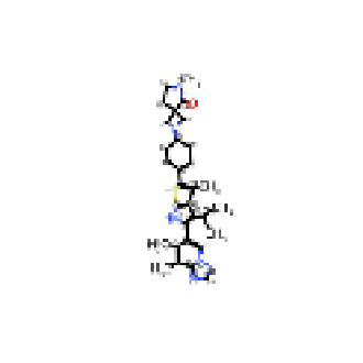 Cc1c(-c2[nH]c3sc(C4CCC(N5CC6(CCN(C)C6=O)C5)CC4)c(C)c3c2C(C)C)cn2ncnc2c1C